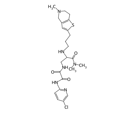 CN1CCc2sc(CCCNC(CNC(=O)C(=O)Nc3ccc(Cl)cn3)C(=O)N(C)C)cc2C1